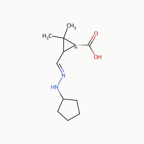 CC1(C)C(C=NNC2CCCC2)[C@H]1C(=O)O